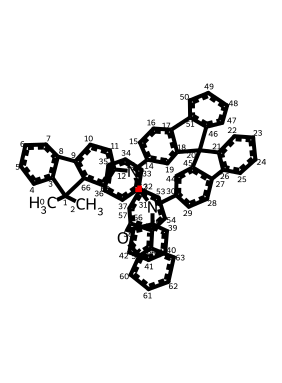 CC1(C)c2ccccc2-c2ccc(N(c3ccc4c(c3)C3(c5ccccc5-c5ccc(N(c6ccccc6)c6ccccc6)cc53)c3ccccc3-4)c3ccc4c(c3)oc3ccccc34)cc21